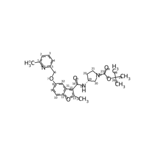 Cc1cccc(COc2ccc3oc(C)c(C(=O)N[C@@H]4CCN(C(=O)OC(C)(C)C)C4)c3c2)n1